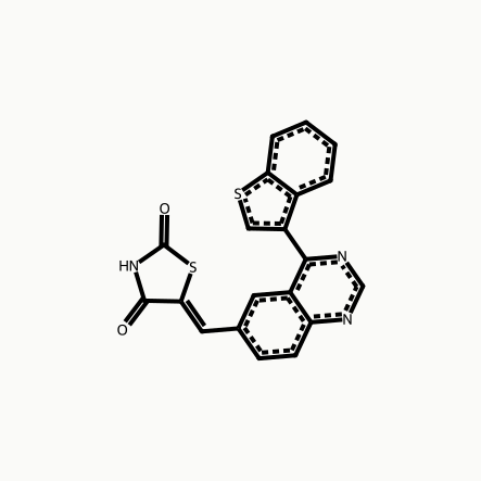 O=C1NC(=O)C(=Cc2ccc3ncnc(-c4csc5ccccc45)c3c2)S1